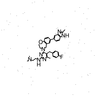 Cc1nc2cc(-c3ccc4c(c3)CN(c3nc(NCCN(C)C)nc(C)c3Cc3ccc(F)cc3)CCO4)ccc2[nH]1